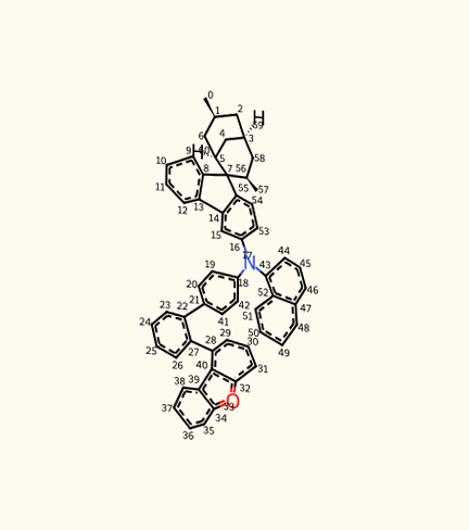 C[C@H]1C[C@@H]2C[C@H](C1)C1(c3ccccc3-c3cc(N(c4ccc(-c5ccccc5-c5cccc6oc7ccccc7c56)cc4)c4cccc5ccccc45)ccc31)[C@H](C)C2